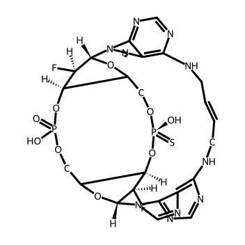 O=P1(O)OCC2O[C@@H]3[C@H](F)[C@@H]2O[P@@](O)(=S)OCC2O[C@H]([C@H](F)[C@@H]2O1)n1cnc2c(ncnc21)NC/C=C/CNc1ncnc2c1ncn23